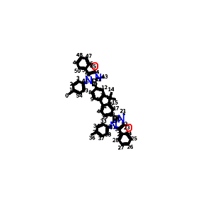 Cc1ccc(N2B(c3ccc4c(c3)C(C)(C)c3cc(B5N(C)c6oc7ccccc7c6N5c5ccc(C)cc5)ccc3-4)N(C)c3oc4ccccc4c32)cc1